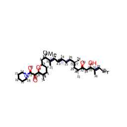 CO[C@@H](CC1CC[C@@H](C)C(C(=O)C(=O)N2CCCCC2)O1)/C(C)=C/C=C/C=C/[C@@H](C)C[C@@H](C)C(=O)C[C@H](O)/C(C)=C/C(C)C